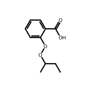 CCC(C)OOc1ccccc1C(=O)O